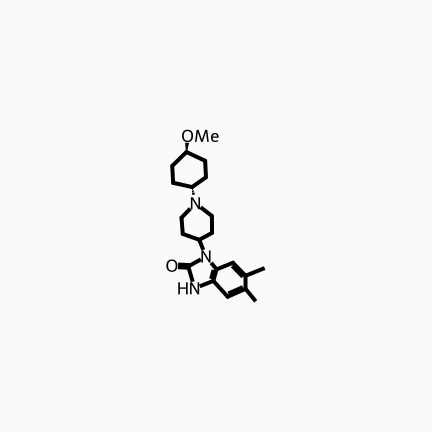 CO[C@H]1CC[C@H](N2CCC(n3c(=O)[nH]c4cc(C)c(C)cc43)CC2)CC1